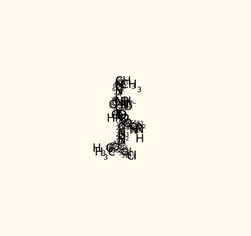 C[C@H]1CN(CC[C@@H]2COc3cc(S(=O)(=O)NC(=O)c4ccc(N5CCN(CC6=C(c7ccc(Cl)cc7)CC(C)(C)CC6)CC5)cc4Oc4cnc5[nH]ccc5c4)cc([N+](=O)[O-])c3N2)CCN1C